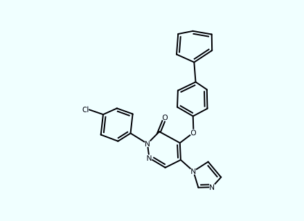 O=c1c(Oc2ccc(-c3ccccc3)cc2)c(-n2ccnc2)cnn1-c1ccc(Cl)cc1